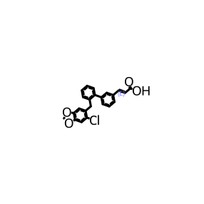 O=C(O)/C=C/c1cccc(-c2ccccc2Cc2cc3c(cc2Cl)OCO3)c1